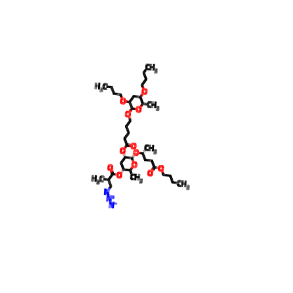 CCCCOC(=O)CC[C@@H](C)O[C@@H]1OC(C)[C@H](OC(=O)[C@H](C)CN=[N+]=[N-])C[C@@H]1OC(=O)CCCCO[C@@H]1OC(C)[C@H](OCCCC)C[C@@H]1OCCCC